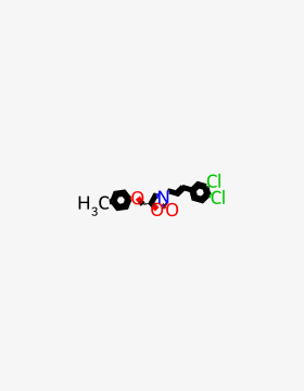 Cc1ccc(OC[C@@H]2CN(C/C=C/c3ccc(Cl)c(Cl)c3)C(=O)O2)cc1